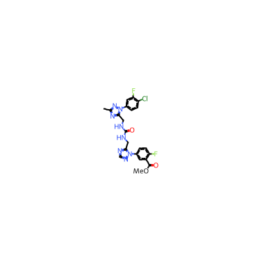 COC(=O)c1cc(-n2ncnc2CNC(=O)NCc2nc(C)nn2-c2ccc(Cl)c(F)c2)ccc1F